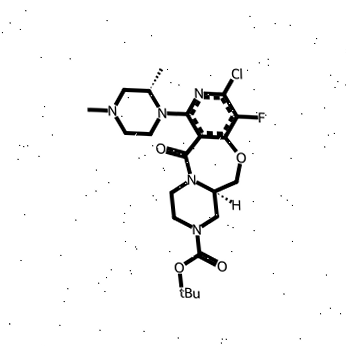 C[C@H]1CN(C)CCN1c1nc(Cl)c(F)c2c1C(=O)N1CCN(C(=O)OC(C)(C)C)C[C@@H]1CO2